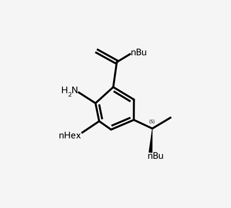 C=C(CCCC)c1cc([C@@H](C)CCCC)cc(CCCCCC)c1N